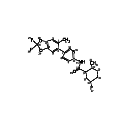 Cc1cc2c(cc1-c1ccc(NC(=O)C3CC(F)CCC3C)nc1)OC(F)(F)O2